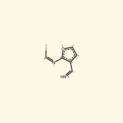 N=Cc1ccoc1/N=C\I